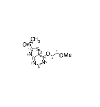 COCCOc1ncnc2nc([S+](C)[O-])sc12